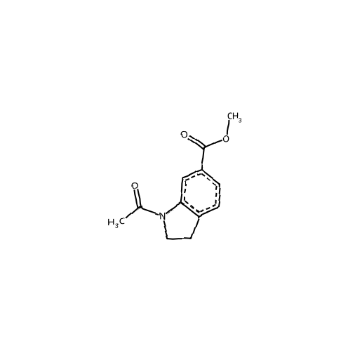 COC(=O)c1ccc2c(c1)N(C(C)=O)CC2